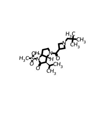 CC(C)[C@H]1C(=O)N(S(C)(=O)=O)[C@H]2CCN(C(=O)C3CN(CC(C)(C)C)C3)[C@H]12